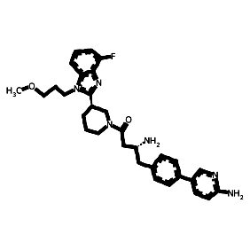 COCCCn1c([C@@H]2CCCN(C(=O)C[C@H](N)Cc3ccc(-c4ccc(N)nc4)cc3)C2)nc2c(F)cccc21